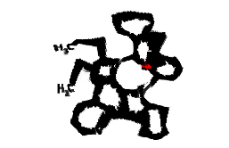 C=Cc1c(/C=C\C)n(-c2nccc3ccccc23)c2c1c1cccnc1c1c3ccccc3n(-c3ccccc3)c12